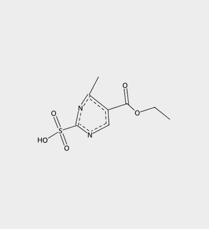 CCOC(=O)c1cnc(S(=O)(=O)O)nc1C